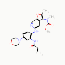 C=CC(=O)Nc1cc(N2CCOCC2)ccc1Nc1cc2c(N(C)C(=O)OC(C)(C)C)c(C)oc2cn1